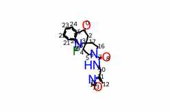 O=C1CC2(CCN(C(=O)NCc3cocn3)CC2)N(F)c2ccccc21